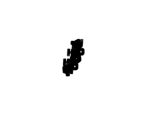 Cc1cccc(C(=O)N[C@@]23CCC[C@@](NC(=O)c4cncc(C)n4)(CC2)C3)n1